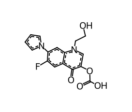 O=C(O)Oc1cn(CCO)c2cc(-n3cccc3)c(F)cc2c1=O